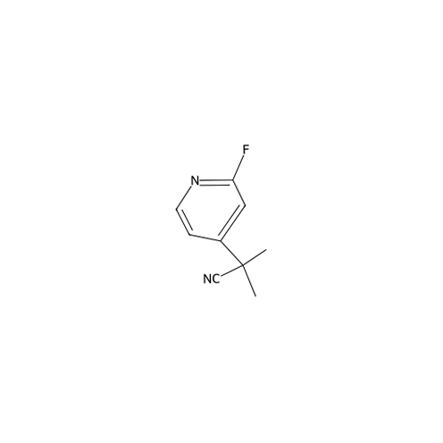 CC(C)(C#N)c1ccnc(F)c1